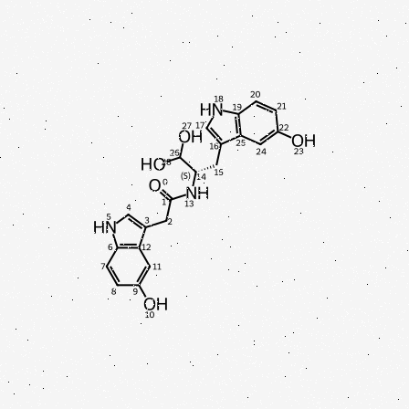 O=C(Cc1c[nH]c2ccc(O)cc12)N[C@@H](Cc1c[nH]c2ccc(O)cc12)C(O)O